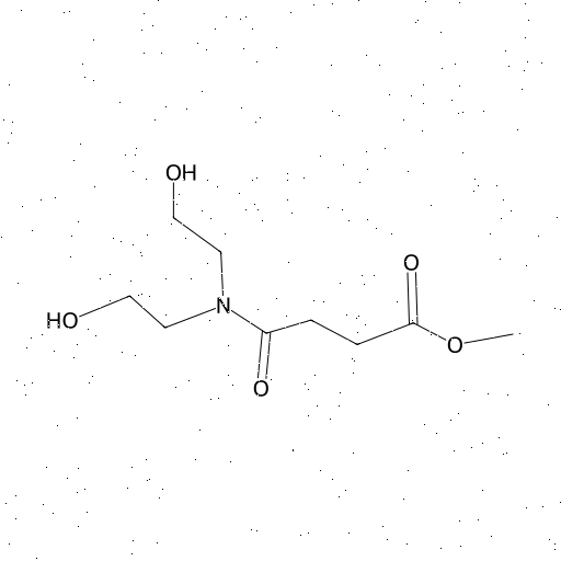 COC(=O)CCC(=O)N(CCO)CCO